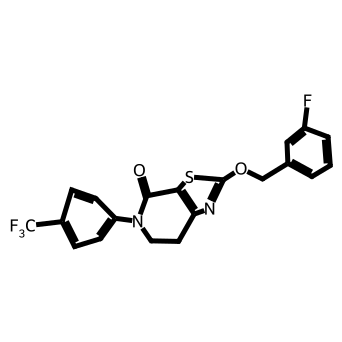 O=C1c2sc(OCc3cccc(F)c3)nc2CCN1c1ccc(C(F)(F)F)cc1